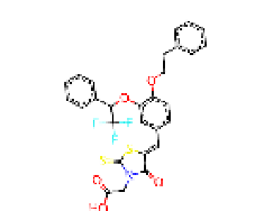 O=C(O)CN1C(=O)C(=Cc2ccc(OCCc3ccccc3)c(OC(c3ccccc3)C(F)(F)F)c2)SC1=S